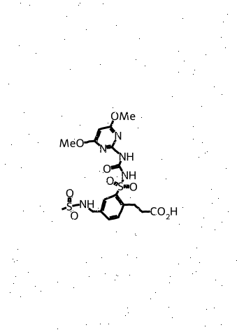 COc1cc(OC)nc(NC(=O)NS(=O)(=O)c2cc(CNS(C)(=O)=O)ccc2CCC(=O)O)n1